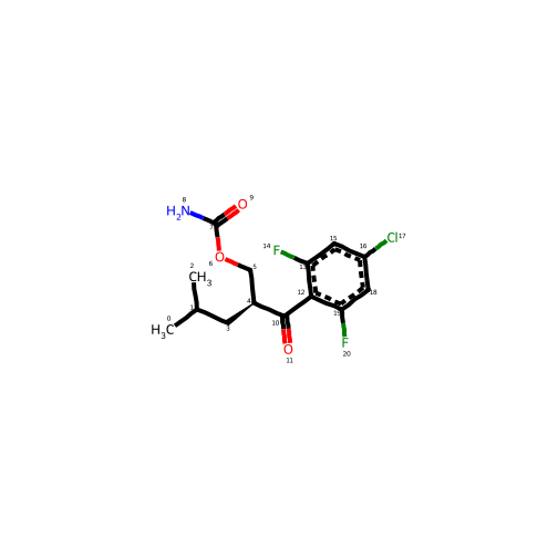 CC(C)C[C@@H](COC(N)=O)C(=O)c1c(F)cc(Cl)cc1F